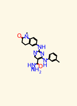 Cc1cccc(Nc2nc(Nc3ccc4c(c3)CCC(=O)N4C)ncc2C(=O)NN)c1